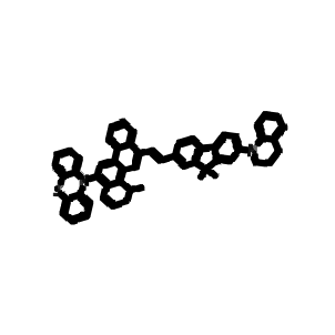 CC1CC=Cc2c(N3c4ccccc4Sc4ccccc43)cc3c(cc(/C=C/c4ccc5c(c4)C(C)(C)c4cc(N6CCCc7ccccc76)ccc4-5)c4ccccc43)c21